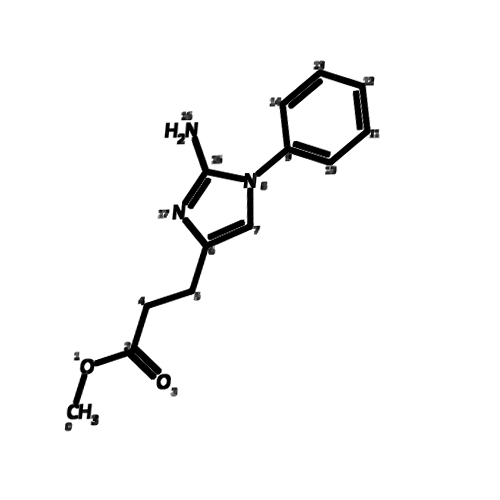 COC(=O)CCc1cn(-c2ccccc2)c(N)n1